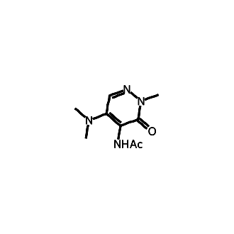 CC(=O)Nc1c(N(C)C)cnn(C)c1=O